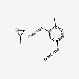 CC1CO1.Cc1ccc(N=C=O)cc1N=C=O